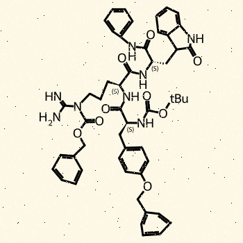 CC(C)(C)OC(=O)N[C@@H](Cc1ccc(OCc2ccccc2)cc1)C(=O)N[C@@H](CCCN(C(=N)N)C(=O)OCc1ccccc1)C(=O)N[C@@H](CC1C(=O)Nc2ccccc21)C(=O)Nc1ccccc1